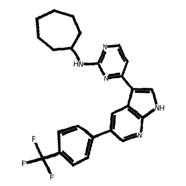 FC(F)(F)c1ccc(-c2cnc3[nH]cc(-c4ccnc(NC5CCCCCC5)n4)c3c2)cc1